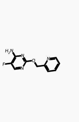 Nc1nc(OCc2ccccn2)ncc1F